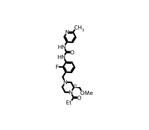 CCC(=O)N1CCN(Cc2cccc(NC(=O)Nc3ccc(C)nc3)c2F)C[C@H]1COC